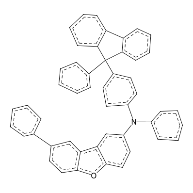 c1ccc(-c2ccc3oc4ccc(N(c5ccccc5)c5ccc(C6(c7ccccc7)c7ccccc7-c7ccccc76)cc5)cc4c3c2)cc1